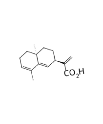 C=C(C(=O)O)[C@H]1C=C2C(C)=CCC[C@@]2(C)CC1